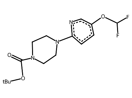 CC(C)(C)OC(=O)N1CCN(c2ccc(OC(F)F)cn2)CC1